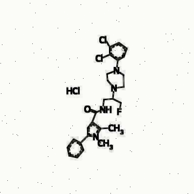 Cc1c(C(=O)NCC(CF)N2CCN(c3cccc(Cl)c3Cl)CC2)cc(-c2ccccc2)n1C.Cl